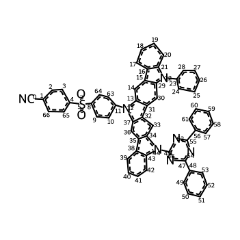 N#Cc1ccc(S(=O)(=O)c2ccc(-n3c4cc5c6ccccc6n(-c6ccccc6)c5cc4c4cc5c(cc43)c3ccccc3n5-c3nc(-c4ccccc4)nc(-c4ccccc4)n3)cc2)cc1